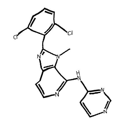 Cn1c(-c2c(Cl)cccc2Cl)nc2ccnc(Nc3ccncn3)c21